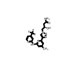 Cc1cc(Nc2cc(C(F)(F)F)ccn2)nc(-c2cn(C[C@H](O)CC(N)=O)nn2)c1